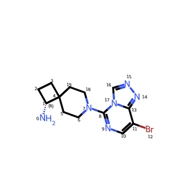 N[C@@H]1CCC12CCN(c1ncc(Br)c3nncn13)CC2